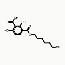 O=C(OCCCCCCO)c1ccc(O)c(C(=O)O)c1O